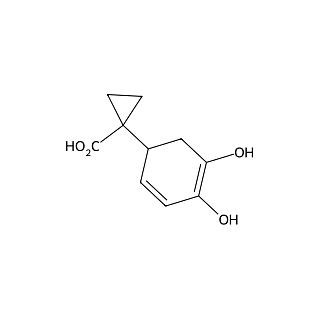 O=C(O)C1(C2C=CC(O)=C(O)C2)CC1